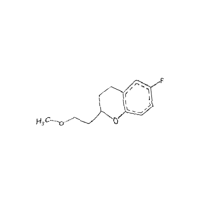 COCCC1CCc2cc(F)ccc2O1